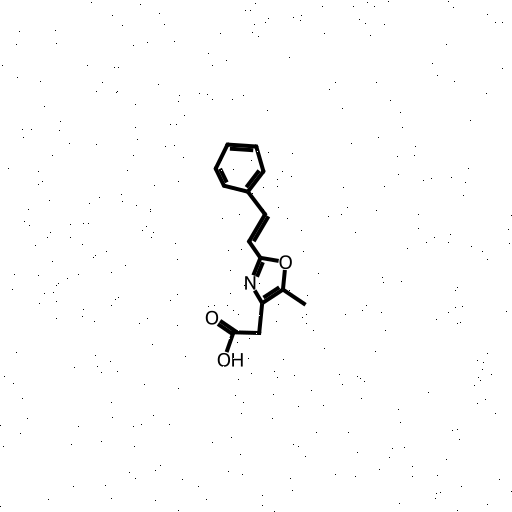 Cc1oc(C=Cc2ccccc2)nc1CC(=O)O